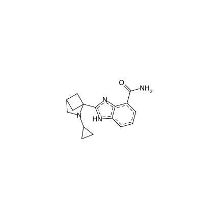 NC(=O)c1cccc2[nH]c(C34CC(CN3C3CC3)C4)nc12